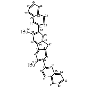 CC(C)(C)c1cc2c(cc1-c1ccc3ccccc3c1)Cc1cc(-c3ccc4ccccc4c3)c(C(C)(C)C)cc1-2